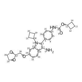 Nc1c(-c2ccc(NC(=O)OC3CCC3)cc2)n(C2CCC2)c2cc(OCC3OCCO3)ccc12